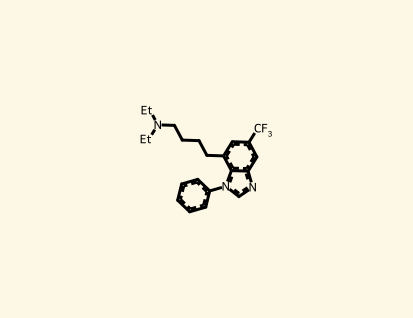 CCN(CC)CCCCc1cc(C(F)(F)F)cc2ncn(-c3ccccc3)c12